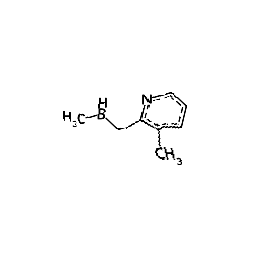 CBCc1ncccc1C